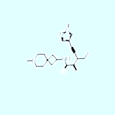 C=C(C(=O)NC1CC2(CCN(C)CC2)C1)C(C#Cc1cnn(C)c1)CC